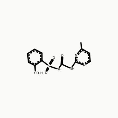 Cc1ccnc(NC(=O)NS(=O)(=O)c2ccccc2C(=O)O)n1